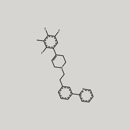 Cc1c(F)c(F)cc(C2=CCN(CCc3cccc(-c4ccccn4)c3)CC2)c1F